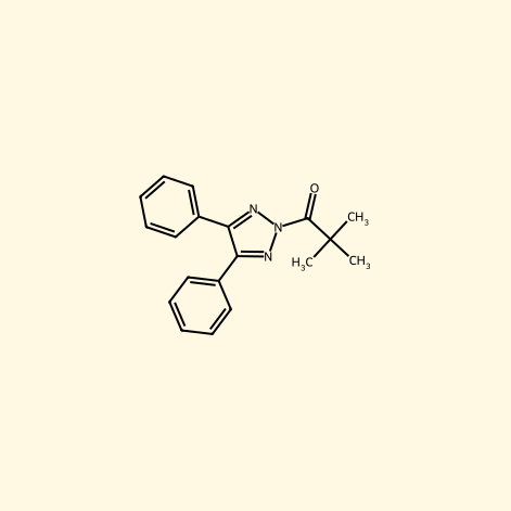 CC(C)(C)C(=O)n1nc(-c2ccccc2)c(-c2ccccc2)n1